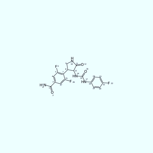 NC(=O)c1cc(F)c(C2CNC(=O)C2NC(=O)Nc2ccc(F)cc2)c(F)c1